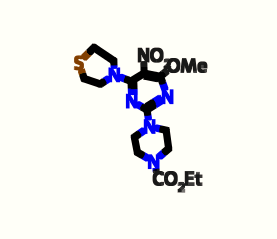 CCOC(=O)N1CCN(c2nc(OC)c([N+](=O)[O-])c(N3CCSCC3)n2)CC1